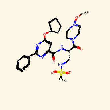 CCOC(=O)ON1CCN(C(=O)[C@H](CNS(C)(=O)=O)NC(=O)c2cc(OC3CCCC3)nc(-c3ccccc3)n2)CC1